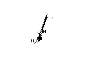 C=Cc1ccc(COC(=O)NCCCCCCCCCCCC)o1